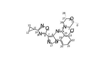 C[C@@H]1CN(c2nc3c(-c4nc(C5CC5)no4)ncn3c3cccc(Cl)c23)C[C@H](C)O1